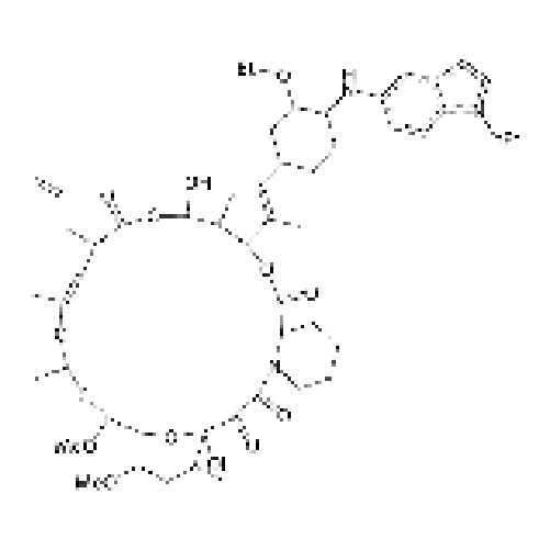 C=CCC1/C=C(\C)CC(C)CC(OC)C2OC(O)(C(=O)C(=O)N3CCCCC3C(=O)OC(C(C)=CC3CCC(Nc4ccc5c(ccn5CCC)c4)C(OCC)C3)C(C)C(O)CC1=O)C(C)CC2OC